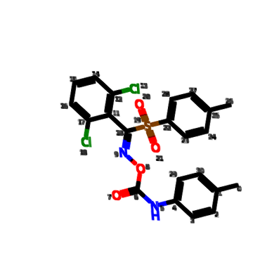 Cc1ccc(NC(=O)ON=C(c2c(Cl)cccc2Cl)S(=O)(=O)c2ccc(C)cc2)cc1